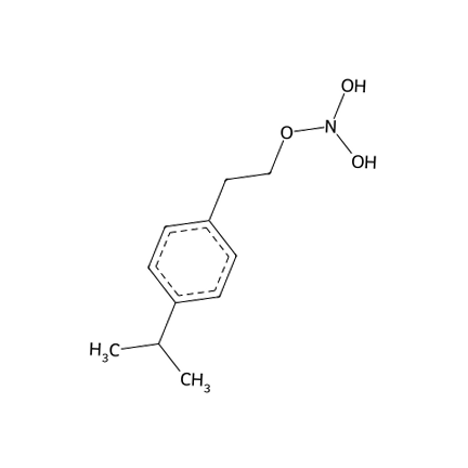 CC(C)c1ccc(CCON(O)O)cc1